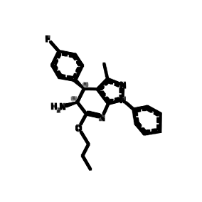 CCCOC1=Nc2c(c(C)nn2-c2ccccc2)[C@H](c2ccc(F)cc2)[C@@H]1N